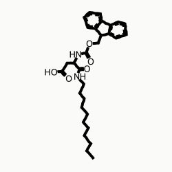 CCCCCCCCCCCNC(=O)C(CC(=O)O)NC(=O)OCC1c2ccccc2-c2ccccc21